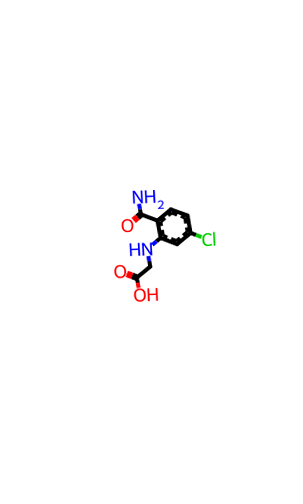 NC(=O)c1ccc(Cl)cc1NCC(=O)O